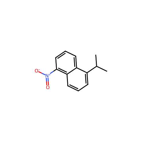 CC(C)c1cccc2c([N+](=O)[O-])cccc12